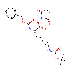 CC(C)(C)OC(=O)NCCCC[C@H](NC(=O)OCc1ccccc1)C(=O)ON1C(=O)CCC1=O